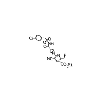 CCOC(=O)c1cc(C#N)c(N2CC(C(=O)NS(=O)(=O)Cc3ccc(Cl)cc3)C2)nc1CF